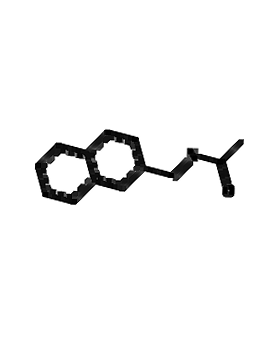 CC(=O)/N=C/c1ccc2ccccc2c1